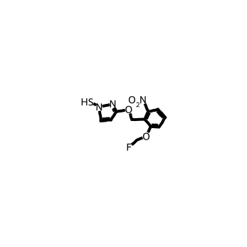 O=[N+]([O-])c1cccc(OCF)c1COc1ccn(S)n1